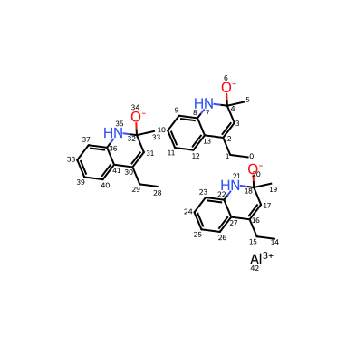 CCC1=CC(C)([O-])Nc2ccccc21.CCC1=CC(C)([O-])Nc2ccccc21.CCC1=CC(C)([O-])Nc2ccccc21.[Al+3]